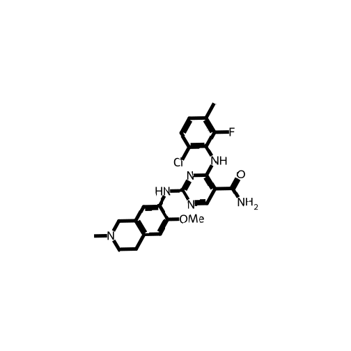 COc1cc2c(cc1Nc1ncc(C(N)=O)c(Nc3c(Cl)ccc(C)c3F)n1)CN(C)CC2